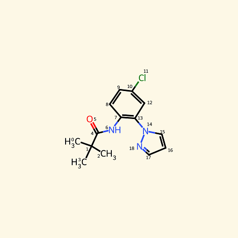 CC(C)(C)C(=O)Nc1ccc(Cl)cc1-n1cccn1